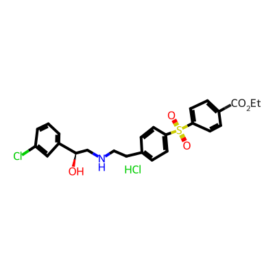 CCOC(=O)c1ccc(S(=O)(=O)c2ccc(CCNC[C@@H](O)c3cccc(Cl)c3)cc2)cc1.Cl